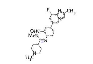 CN/C(=N\c1ccc(-c2cc(F)c3nc(C)cn3c2)cc1C=O)C1CCN(C)CC1